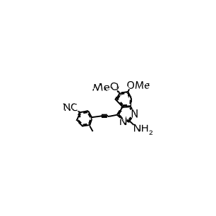 COc1cc2nc(N)nc(C#Cc3cc(C#N)ccc3C)c2cc1OC